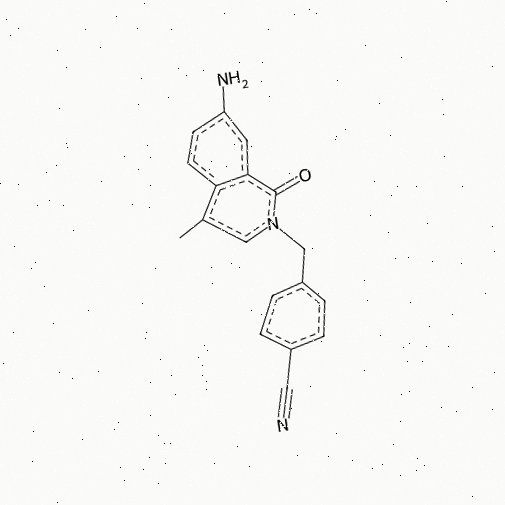 Cc1cn(Cc2ccc(C#N)cc2)c(=O)c2cc(N)ccc12